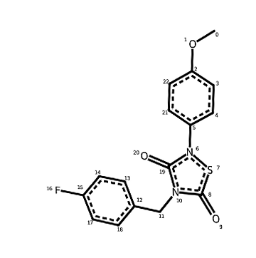 COc1ccc(-n2sc(=O)n(Cc3ccc(F)cc3)c2=O)cc1